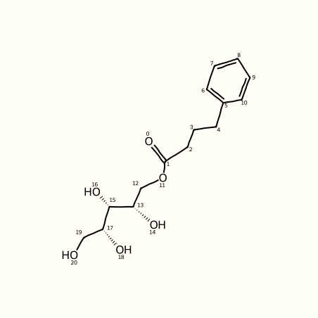 O=C(CCCc1ccccc1)OC[C@H](O)[C@@H](O)[C@H](O)CO